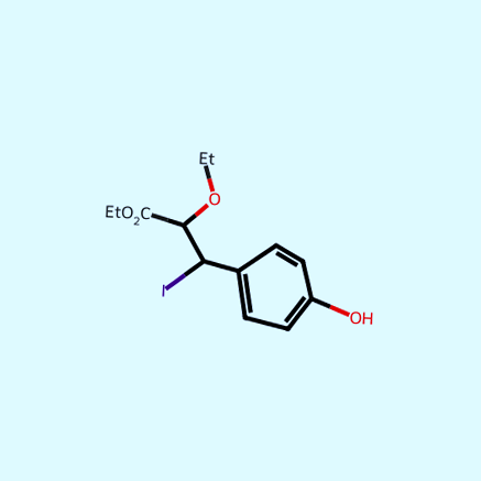 CCOC(=O)C(OCC)C(I)c1ccc(O)cc1